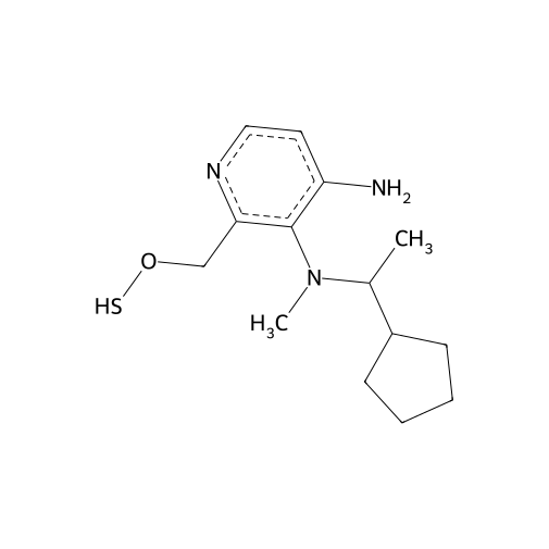 CC(C1CCCC1)N(C)c1c(N)ccnc1COS